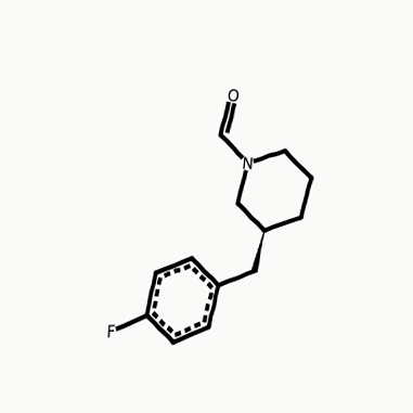 O=CN1CCC[C@@H](Cc2ccc(F)cc2)C1